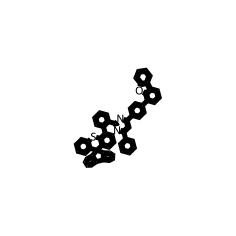 c1ccc(-c2cc(-c3ccc(-c4cccc5c4oc4ccccc45)cc3)nc(-c3ccccc3-c3cccc4c3Sc3ccccc3C43c4ccccc4-c4ccccc43)n2)cc1